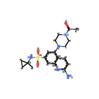 CC(C)C(=O)N1CCN(c2cc(S(=O)(=O)NC3(C)CC3)cc3nc(N)ccc23)CC1